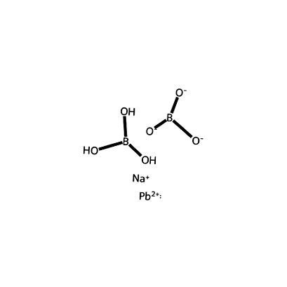 OB(O)O.[Na+].[O-]B([O-])[O-].[Pb+2]